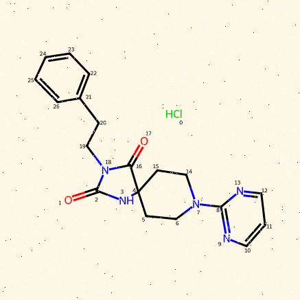 Cl.O=C1NC2(CCN(c3ncccn3)CC2)C(=O)N1CCc1ccccc1